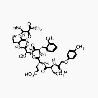 CCCCC(NC(=O)[C@H](CC(C)C)NC(=O)[C@@H](NC(=O)[C@H](Cc1ccccc1C)NC(=O)[C@H](CCC(=O)O)NC(=O)[C@H](CC(=O)O)NC(=O)COc1ccc(C)cc1)C(C)(C)C)C(=O)C(N)=O